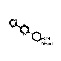 CCCCC[C@]1(C#N)CC[C@H](c2ccc(-c3cccs3)cn2)CC1